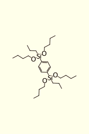 CCCCO[Si](CCC)(OCCCC)c1ccc([Si](CCC)(OCCCC)OCCCC)cc1